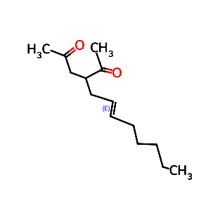 CCCCC/C=C/CC(CC(C)=O)C(C)=O